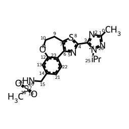 Cc1nc(-c2nc3c(s2)CCOc2cc(CNS(C)(=O)=O)ccc2-3)n(C(C)C)n1